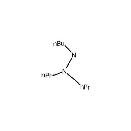 CCCC[N]N(CCC)CCC